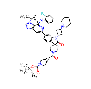 CC(C)n1cnc2cc(-c3ccc4c(c3)N([C@H]3C[C@@H](N5CCCCC5)C3)C(=O)C43CCN(C(=O)C4C5CN(C(=O)OC(C)(C)C)CC54)CC3)nc(Nc3ccccc3F)c21